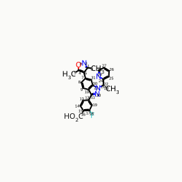 Cc1noc(C)c1-c1ccc2c(-c3ccc(C(=O)O)c(F)c3)nn([C@@H](C)c3ccccn3)c2c1